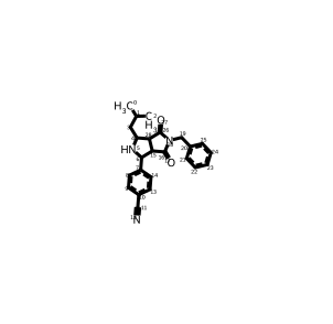 CC(C)CC1NC(c2ccc(C#N)cc2)C2C(=O)N(Cc3ccccc3)C(=O)C12